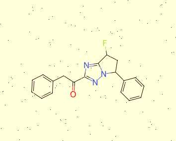 O=C(Cc1ccccc1)c1nc2n(n1)C(c1ccccc1)CC2F